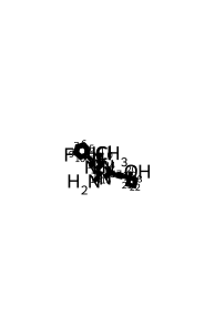 Cl.Cn1c(-c2cccc(F)c2)nc2c(N)nc(C#CC3(O)CCC3)nc21